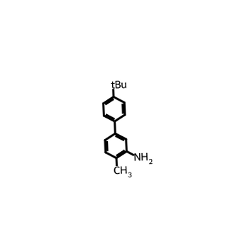 Cc1ccc(-c2ccc(C(C)(C)C)cc2)cc1N